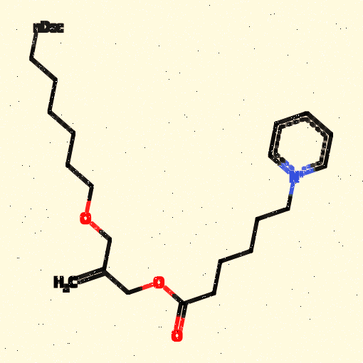 C=C(COCCCCCCCCCCCCCCCC)COC(=O)CCCCC[n+]1ccccc1